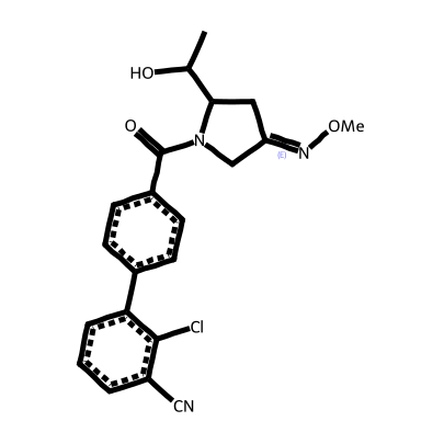 CO/N=C1\CC(C(C)O)N(C(=O)c2ccc(-c3cccc(C#N)c3Cl)cc2)C1